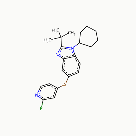 CC(C)(C)c1nc2cc(Sc3ccnc(F)c3)ccc2n1C1CCCCC1